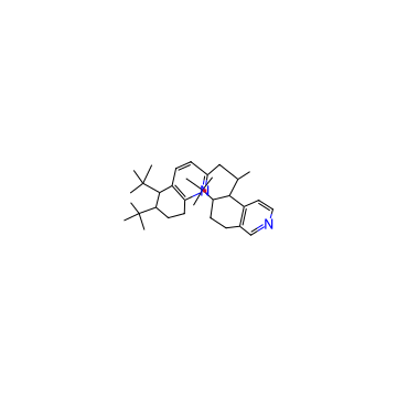 CC(Cc1ccc2c(n1)CCC(C(C)(C)C)C2C(C)(C)C)C1c2ccncc2CCC1C(C)(C)C